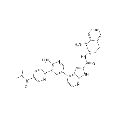 CN(C)C(=O)c1ccc(-c2cc(-c3ccnc4[nH]c(C(=O)N[C@H]5CCc6ccccc6[C@H]5N)cc34)cnc2N)nc1